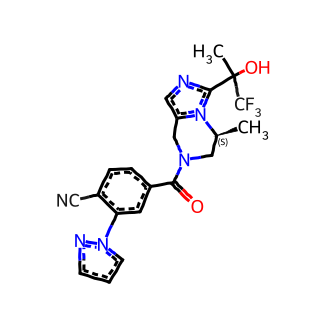 C[C@H]1CN(C(=O)c2ccc(C#N)c(-n3cccn3)c2)Cc2cnc(C(C)(O)C(F)(F)F)n21